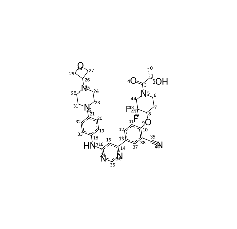 C[C@H](O)C(=O)N1CCC(Oc2ccc(-c3cc(Nc4ccc(N5CCN(C6COC6)CC5)cc4)ncn3)cc2C#N)C(F)(F)C1